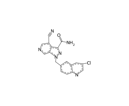 N#Cc1cncc2c1c(C(N)=O)nn2Cc1ccc2ncc(Cl)cc2c1